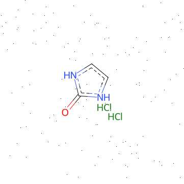 Cl.Cl.O=c1[nH]cc[nH]1